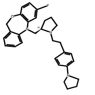 Fc1ccc2c(c1)N(C[C@H]1CCCN1CCc1ccc(N3CCCC3)cc1)c1ccccc1CO2